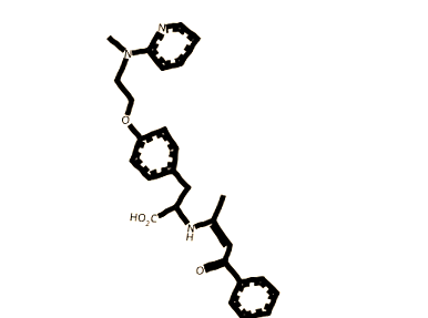 C/C(=C/C(=O)c1ccccc1)NC(Cc1ccc(OCCN(C)c2ccccn2)cc1)C(=O)O